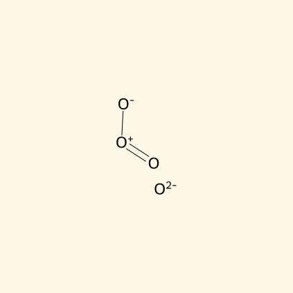 O=[O+][O-].[O-2]